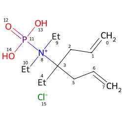 C=CCC(CC)(CC=C)[N+](CC)(CC)P(=O)(O)O.[Cl-]